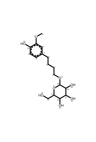 COc1cc(CCCCOC2OC(CO)C(O)C(O)C2O)ccc1O